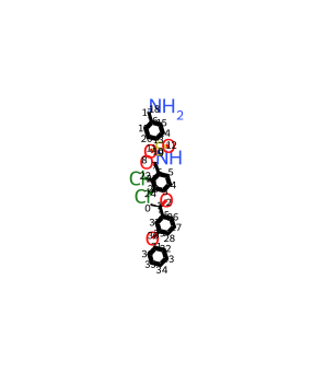 C[C@@H](Oc1ccc(C(=O)NS(=O)(=O)c2ccc(CN)cc2)c(Cl)c1Cl)c1cccc(Oc2ccccc2)c1